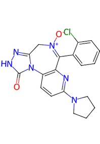 O=c1[nH]nc2n1-c1ccc(N3CCCC3)nc1C(c1ccccc1Cl)=[N+]([O-])C2